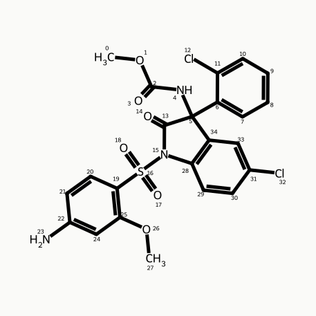 COC(=O)NC1(c2ccccc2Cl)C(=O)N(S(=O)(=O)c2ccc(N)cc2OC)c2ccc(Cl)cc21